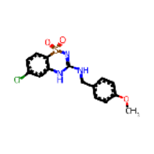 COc1ccc(CNC2=NS(=O)(=O)c3ccc(Cl)cc3N2)cc1